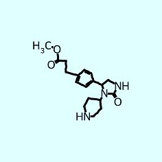 COC(=O)CCc1ccc(C2CNC(=O)N2C2CCNCC2)cc1